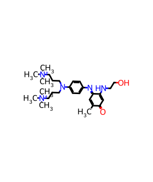 CC1=CC(=Nc2ccc(N(CCC[N+](C)(C)C)CCC[N+](C)(C)C)cc2)C(NCCO)=CC1=O